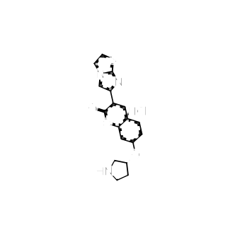 Cl.O=c1oc2cc(O[C@@H]3CCNC3)ccc2cc1-c1cn2ccsc2n1